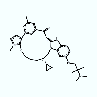 Cc1cc2cc(n1)-c1cnn(C)c1OCCC[C@@H](C1CC1)CN1/C(=N/C2=O)Nc2ccc(NCC(C)(C)N(C)C)cc21